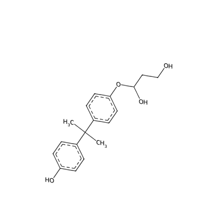 CC(C)(c1ccc(O)cc1)c1ccc(OC(O)CCO)cc1